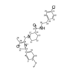 CCc1ccc(C2=NC(CN3CCCC(C(=O)NCCc4ccc(Cl)cc4)C3)=C(C)OC2)cc1